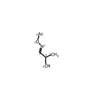 CC(=O)O/N=C/C(C)C#N